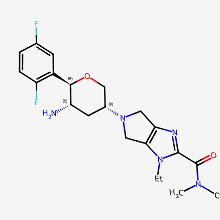 CCn1c(C(=O)N(C)C)nc2c1CN([C@H]1CO[C@H](c3cc(F)ccc3F)[C@@H](N)C1)C2